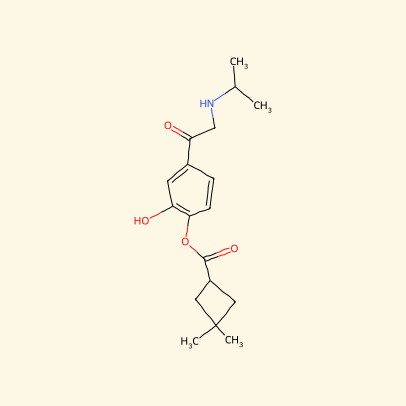 CC(C)NCC(=O)c1ccc(OC(=O)C2CC(C)(C)C2)c(O)c1